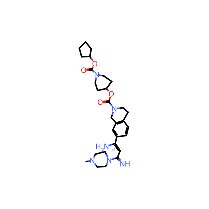 CN1CCN(C(=N)/C=C(\N)c2ccc3c(c2)CN(C(=O)OC2CCN(C(=O)OC4CCCC4)CC2)CC3)CC1